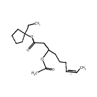 C/C=C\CCCC(CC(=O)OC1(CC)CCCC1)OC(C)=O